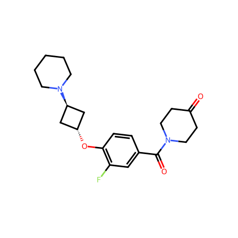 O=C1CCN(C(=O)c2ccc(O[C@H]3C[C@H](N4CCCCC4)C3)c(F)c2)CC1